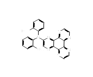 Cc1ccccc1N(c1cnc2c3nccnc3c3nccnc3c2n1)c1ccccc1C(C)(C)C